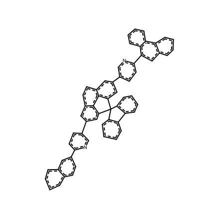 c1ccc2c(c1)-c1ccccc1C21c2cc(-c3ccc(-c4ccc5ccccc5c4)nc3)cc3ccc4cc(-c5ccc(-c6cc7ccccc7c7ccccc67)nc5)cc1c4c23